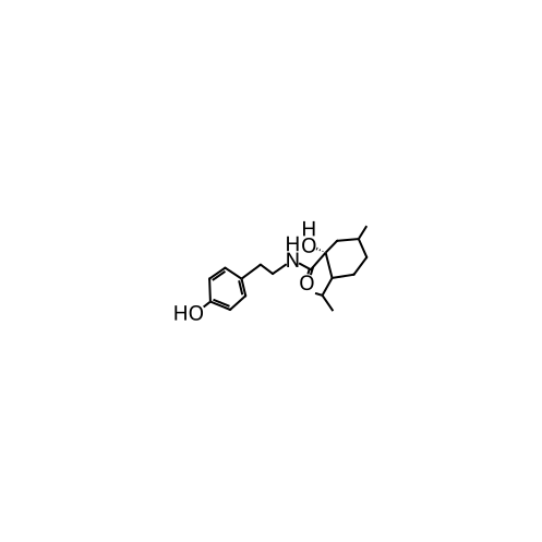 CC1CCC(C(C)C)[C@@](O)(C(=O)NCCc2ccc(O)cc2)C1